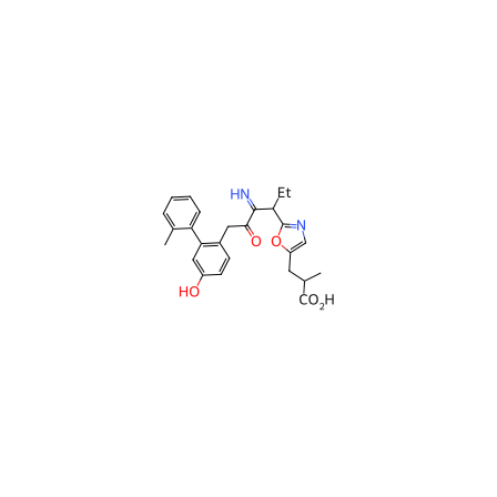 CCC(C(=N)C(=O)Cc1ccc(O)cc1-c1ccccc1C)c1ncc(CC(C)C(=O)O)o1